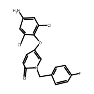 Nc1cc(Cl)c(Oc2ccc(=O)n(Cc3ccc(F)cc3)c2)c(Cl)c1